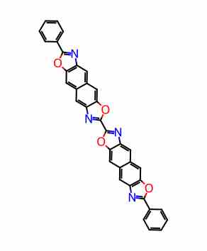 c1ccc(-c2nc3cc4cc5oc(-c6nc7cc8cc9oc(-c%10ccccc%10)nc9cc8cc7o6)nc5cc4cc3o2)cc1